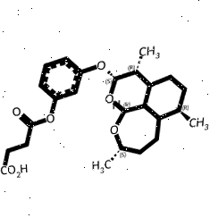 C[C@@H]1CCC2C3C1CC[C@H](C)O[C@@H]3O[C@H](Oc1cccc(OC(=O)CCC(=O)O)c1)[C@@H]2C